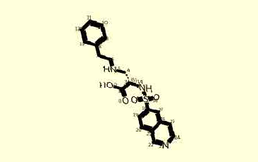 O=C(O)[C@H](CNCCc1ccccc1)NS(=O)(=O)c1ccc2cnccc2c1